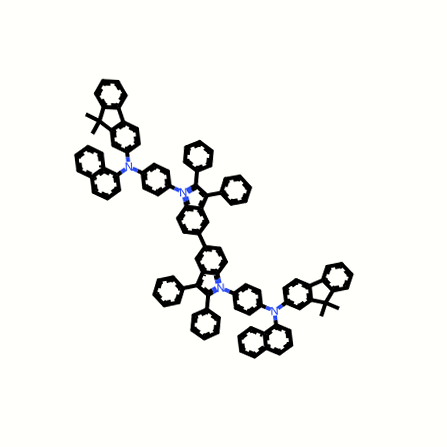 CC1(C)c2ccccc2-c2ccc(N(c3ccc(-n4c(-c5ccccc5)c(-c5ccccc5)c5cc(-c6ccc7c(c6)c(-c6ccccc6)c(-c6ccccc6)n7-c6ccc(N(c7ccc8c(c7)C(C)(C)c7ccccc7-8)c7cccc8ccccc78)cc6)ccc54)cc3)c3cccc4ccccc34)cc21